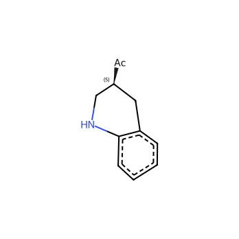 CC(=O)[C@@H]1CNc2ccccc2C1